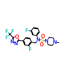 CN1CCN(S(=O)(=O)N(Cc2ccc(-c3nnc(C(F)(F)F)o3)cc2F)c2cccc(F)c2)CC1